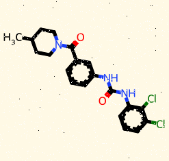 CC1CCN(C(=O)c2cccc(NC(=O)Nc3cccc(Cl)c3Cl)c2)CC1